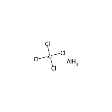 [AlH3].[Cl][Zr]([Cl])([Cl])[Cl]